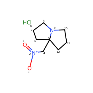 Cl.O=[N+]([O-])CC12CCCN1CCC2